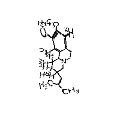 [2H]c1c2c(c([2H])c(OC)c1OC)C1N(CC2)CC([2H])(CC(C)C)C([2H])(O)C1([2H])[2H]